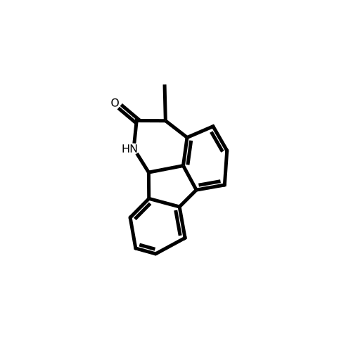 CC1C(=O)NC2c3ccccc3-c3cccc1c32